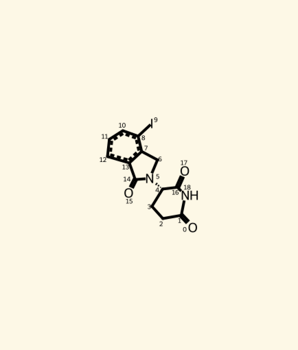 O=C1CC[C@H](N2Cc3c(I)cccc3C2=O)C(=O)N1